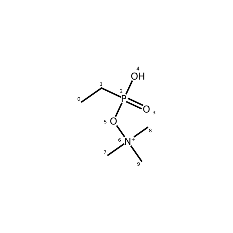 CCP(=O)(O)O[N+](C)(C)C